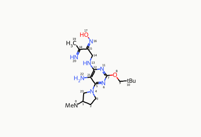 CNC1CCN(c2nc(OCC(C)(C)C)nc(NC/C(=N/O)C(C)=N)c2N)C1